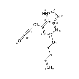 C=CCCOc1nc(OC#P=O)c2[nH]cnc2n1